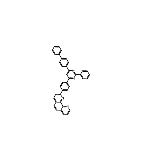 c1ccc(-c2ccc(-c3cc(-c4ccc(-c5ccc6ccc7cccnc7c6n5)cc4)nc(-c4ccccc4)n3)cc2)cc1